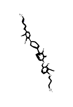 C/C=C/CCc1ccc(C2CC=C(c3ccc(OCc4ccc(OCCCC)c(F)c4F)c(F)c3F)CC2)c(F)c1F